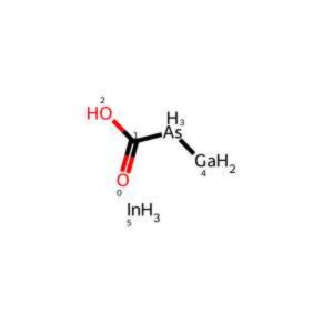 O=C(O)[AsH][GaH2].[InH3]